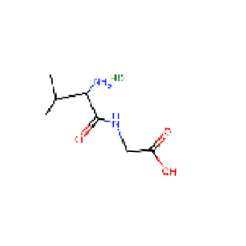 CC(C)C(N)C(=O)NCC(=O)O.Cl